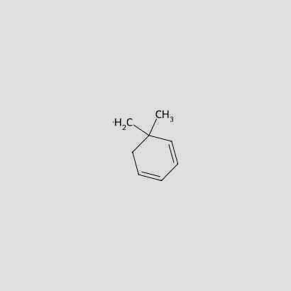 [CH2]C1(C)C=CC=CC1